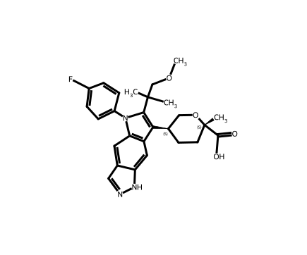 COCC(C)(C)c1c([C@@H]2CC[C@@](C)(C(=O)O)OC2)c2cc3[nH]ncc3cc2n1-c1ccc(F)cc1